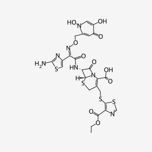 CCOC(=O)c1ncsc1SCC1=C(C(=O)O)N2C(=O)[C@@H](NC(=O)/C(=N\OCc3cc(=O)c(O)cn3O)c3csc(N)n3)[C@H]2SC1